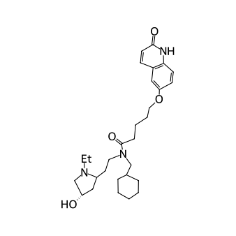 CCN1C[C@@H](O)CC1CCN(CC1CCCCC1)C(=O)CCCCOc1ccc2[nH]c(=O)ccc2c1